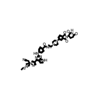 CCSN1CC(CC#N)(n2cc(-c3nc(Nc4ccc(C(=O)NCCN5CCN(c6ccc7c(c6)C(=O)N(C6CCC(=O)NC6=O)C7=O)CC5)cc4)nc4[nH]ccc34)cn2)C1